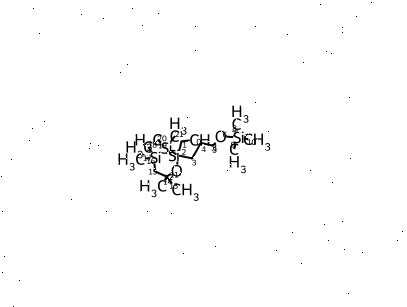 CC[Si]1(CCCO[Si](C)(C)C)OC(C)(C)C[Si](C)(C)[Si]1(C)C